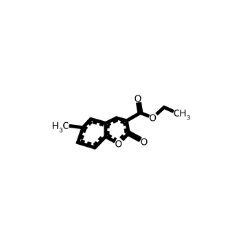 CCOC(=O)c1cc2cc(C)ccc2oc1=O